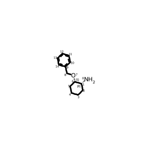 N[C@@H]1CCCC[C@@H]1OCc1ccccc1